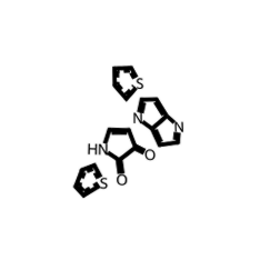 C1=NC2=CC=NC2=C1.O=C1C=CNC1=O.c1ccsc1.c1ccsc1